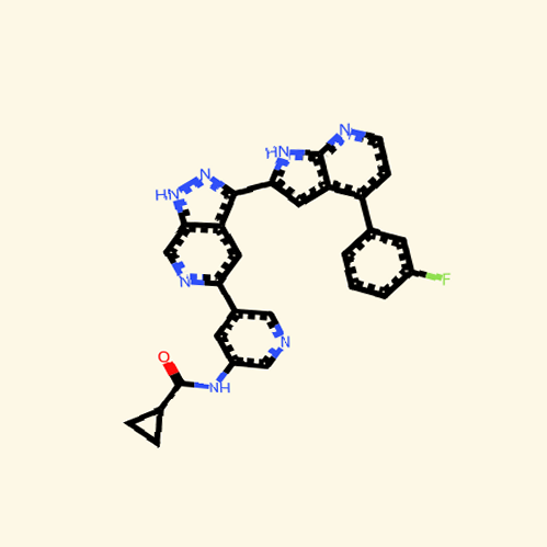 O=C(Nc1cncc(-c2cc3c(-c4cc5c(-c6cccc(F)c6)ccnc5[nH]4)n[nH]c3cn2)c1)C1CC1